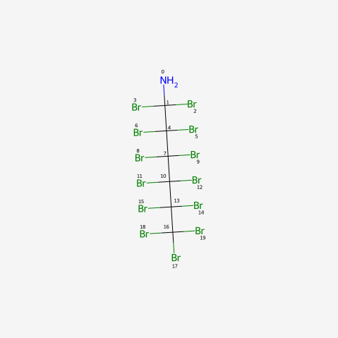 NC(Br)(Br)C(Br)(Br)C(Br)(Br)C(Br)(Br)C(Br)(Br)C(Br)(Br)Br